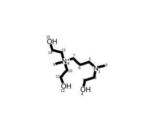 CN(CCO)CCC[N+](C)(CCO)CCO